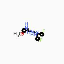 COc1ccc2[nH]cc(CCNCc3nc(-c4cccc(F)c4)c(-c4cccc(F)c4)[nH]3)c2c1